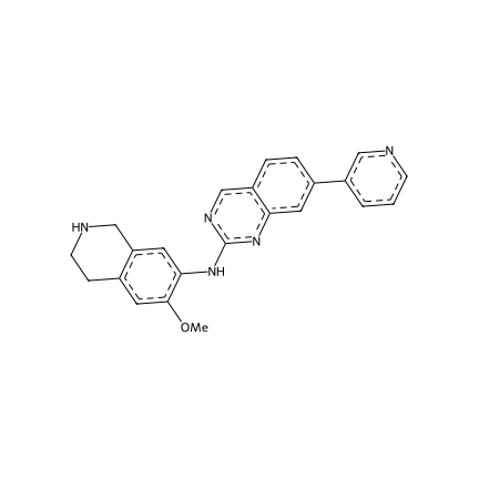 COc1cc2c(cc1Nc1ncc3ccc(-c4cccnc4)cc3n1)CNCC2